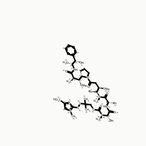 CC[C@H](C)[C@@H]([C@@H](CC(=O)N1CCC[C@H]1[C@H](OC)[C@@H](C)C(=O)N[C@H](C)[C@@H](O)c1ccccc1)OC)N(C)C(=O)[C@@H](NC(=O)[C@H](C(C)C)N(C)C(=O)OCC(C)(C)SSc1nc(C(=O)O)cn1C)C(C)C